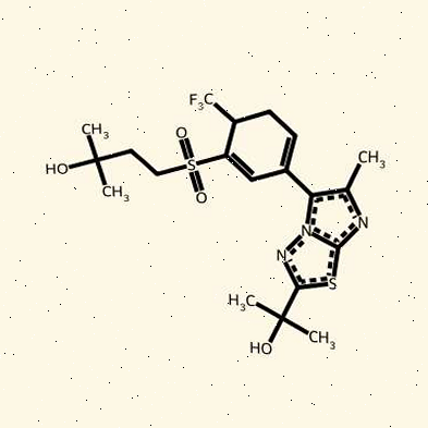 Cc1nc2sc(C(C)(C)O)nn2c1C1=CCC(C(F)(F)F)C(S(=O)(=O)CCC(C)(C)O)=C1